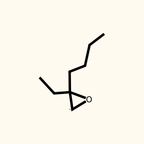 CCCCC1(CC)[CH]O1